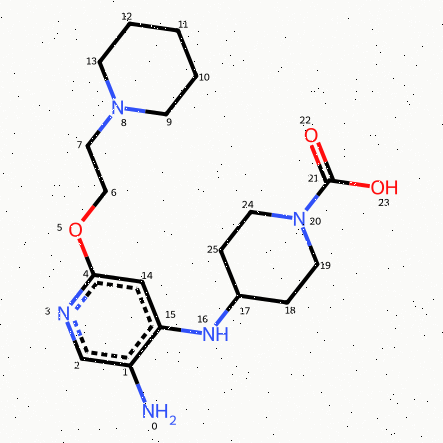 Nc1cnc(OCCN2CCCCC2)cc1NC1CCN(C(=O)O)CC1